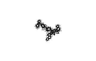 c1ccc2c(c1)ccc1c2ccc2c1nc1c3sc4ccc5ccccc5c4c3cc(-c3ccc(-c4ccc(-n5c6ccccc6c6ccccc65)cc4)cc3)n21